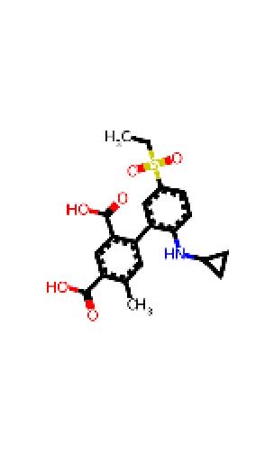 CCS(=O)(=O)c1ccc(NC2CC2)c(-c2cc(C)c(C(=O)O)cc2C(=O)O)c1